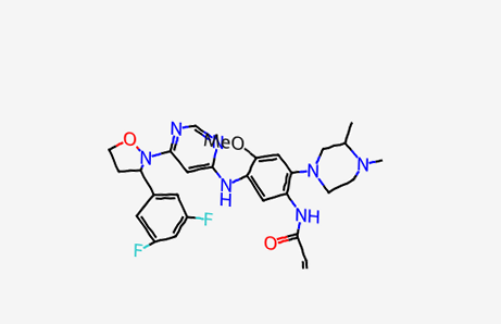 C=CC(=O)Nc1cc(Nc2cc(N3OCCC3c3cc(F)cc(F)c3)ncn2)c(OC)cc1N1CCN(C)C(C)C1